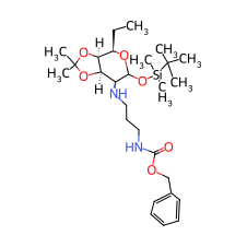 CC[C@H]1OC(O[Si](C)(C)C(C)(C)C)[C@@H](NCCCNC(=O)OCc2ccccc2)[C@H]2OC(C)(C)O[C@H]21